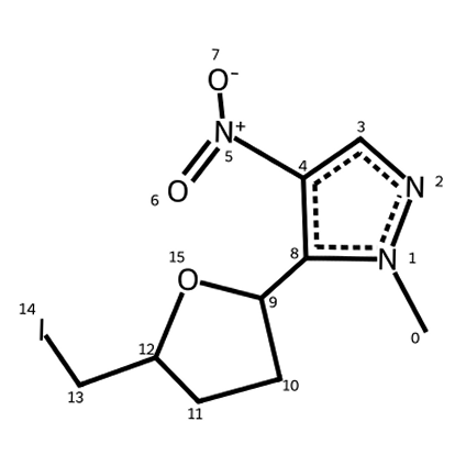 Cn1ncc([N+](=O)[O-])c1C1CCC(CI)O1